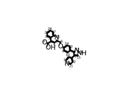 O=C(O)c1cc(COc2ccc(-c3n[nH]cc3-c3ccncc3)cc2)nc2ccccc12